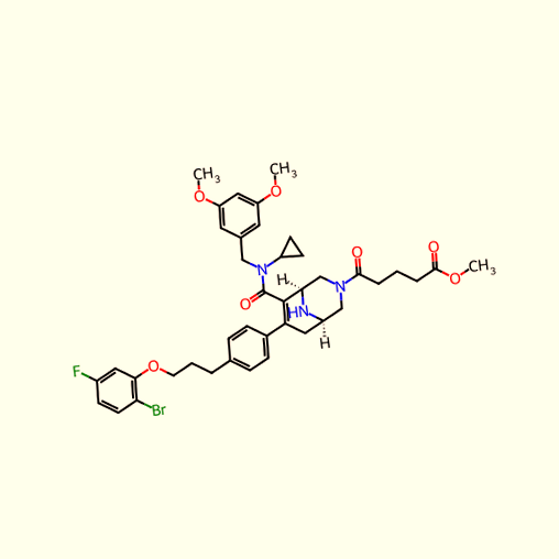 COC(=O)CCCC(=O)N1C[C@H]2CC(c3ccc(CCCOc4cc(F)ccc4Br)cc3)=C(C(=O)N(Cc3cc(OC)cc(OC)c3)C3CC3)[C@@H](C1)N2